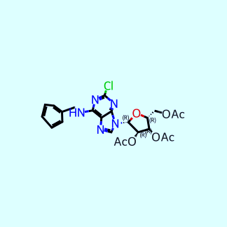 CC(=O)OC[C@H]1O[C@@H](n2cnc3c(NCc4ccccc4)nc(Cl)nc32)[C@H](OC(C)=O)[C@@H]1OC(C)=O